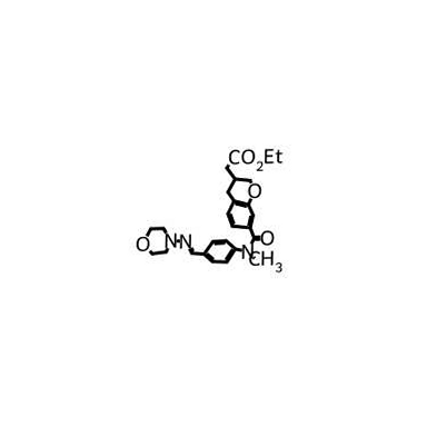 CCOC(=O)CC1COc2cc(C(=O)N(C)c3ccc(C=NN4CCOCC4)cc3)ccc2C1